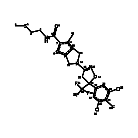 CSCCNC(=O)c1sc2c(c1C)CN(C1=NOC(c3cc(Cl)c(F)c(Cl)c3)(C(F)(F)F)C1)C2